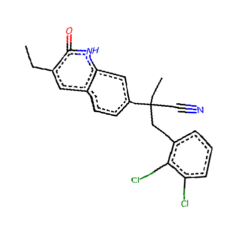 CCc1cc2ccc(C(C)(C#N)Cc3cccc(Cl)c3Cl)cc2[nH]c1=O